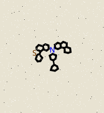 c1ccc(-c2ccc(N(c3ccc4ccc5ccccc5c4c3)c3ccc4ccc5sc6ccccc6c5c4c3)cc2)cc1